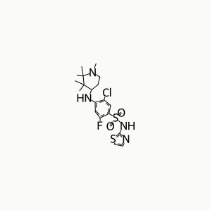 CN1CCC(Nc2cc(F)c(S(=O)(=O)Nc3nccs3)cc2Cl)C(C)(C)C1(C)C